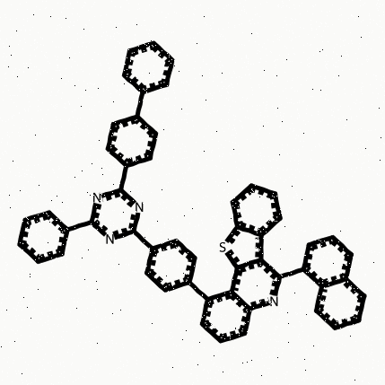 c1ccc(-c2ccc(-c3nc(-c4ccccc4)nc(-c4ccc(-c5cccc6nc(-c7cccc8ccccc78)c7c8ccccc8sc7c56)cc4)n3)cc2)cc1